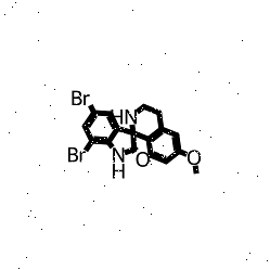 COc1ccc2c(c1)CCNC21C(=O)Nc2c(Br)cc(Br)cc21